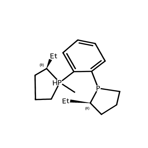 CC[C@@H]1CCCP1c1ccccc1[PH]1(C)CCC[C@H]1CC